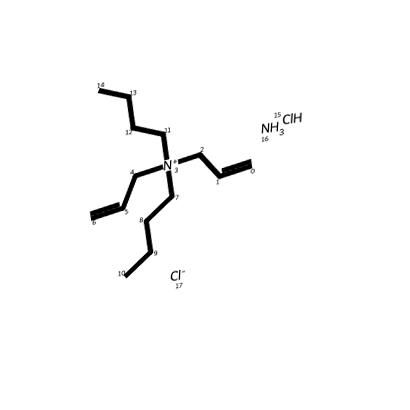 C=CC[N+](CC=C)(CCCC)CCCC.Cl.N.[Cl-]